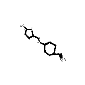 C=CC1CCC(OCC2CCC(CCC)O2)CC1